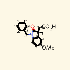 COc1ccc2c(c1)[C@@](C)(CC(=O)O)C(=O)N2Cc1ccccc1